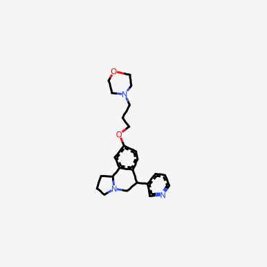 c1cncc(C2CN3CCCC3c3cc(OCCCN4CCOCC4)ccc32)c1